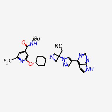 CCC(C)NC(=O)c1cc(O[C@H]2CC[C@@H](N3CC(CC#N)(n4cc(-c5ncnc6[nH]ccc56)cn4)C3)CC2)nc(C(F)(F)F)c1